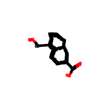 O=C(O)c1ccc2c(BO)cccc2c1